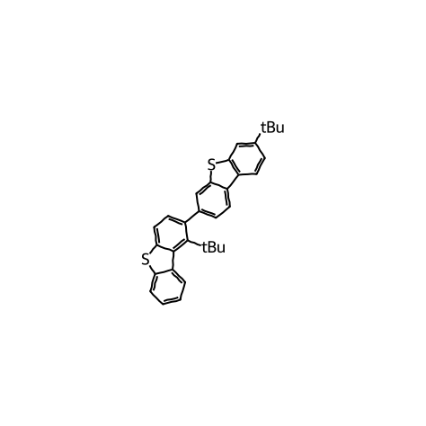 CC(C)(C)c1ccc2c(c1)sc1cc(-c3ccc4sc5ccccc5c4c3C(C)(C)C)ccc12